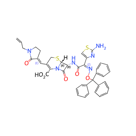 C=CCN1CC/C(=C\C2=C(C(=O)O)N3C(=O)[C@@H](NC(=O)/C(=N\OC(c4ccccc4)(c4ccccc4)c4ccccc4)c4csc(N)n4)[C@H]3SC2)C1=O